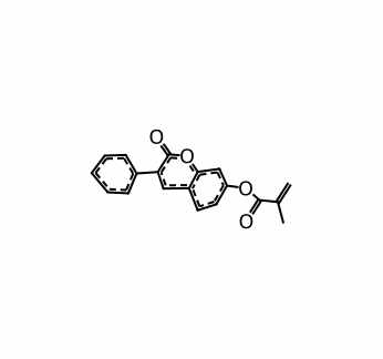 C=C(C)C(=O)Oc1ccc2cc(-c3ccccc3)c(=O)oc2c1